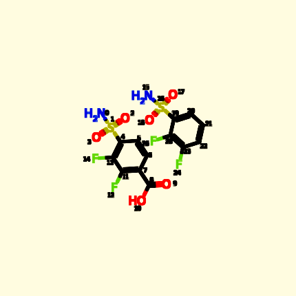 NS(=O)(=O)c1ccc(C(=O)O)c(F)c1F.NS(=O)(=O)c1cccc(F)c1F